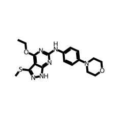 CCOc1nc(Nc2ccc(N3CCOCC3)cc2)nc2[nH]nc(SC)c12